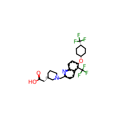 O=C(O)C[C@@H]1CCCN(Cc2ccc3c(C(F)(F)F)c(O[C@H]4CC[C@@H](C(F)(F)F)CC4)ccc3n2)C1